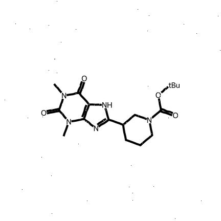 Cn1c(=O)c2[nH]c(C3CCCN(C(=O)OC(C)(C)C)C3)nc2n(C)c1=O